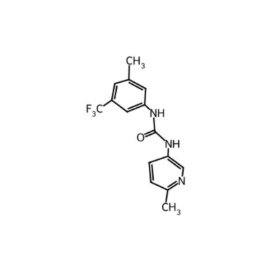 Cc1cc(NC(=O)Nc2ccc(C)nc2)cc(C(F)(F)F)c1